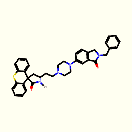 CCNC(=O)C1(CCCCN2CCN(c3ccc4c(c3)C(=O)N(Cc3ccccc3)C4)CC2)c2ccccc2Sc2ccccc21